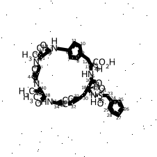 CC1(C)C(=O)Nc2ccc(cc2)C[C@@H](C(=O)O)NC(=O)[C@H](NS(=O)(=O)Cc2ccccc2)Cc2ccc(cc2)NC(=O)C(C)(C)N2CCN1CC2